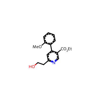 CCOC(=O)c1cnc(CCO)cc1-c1ccccc1OC